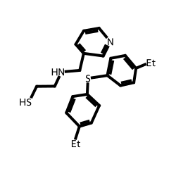 CCc1ccc(Sc2ccc(CC)cc2)cc1.SCCNCc1cccnc1